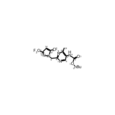 CCCCOC(=O)Nc1cnc(Cn2nc(C(F)(F)F)cc2C(F)(F)F)nc1C